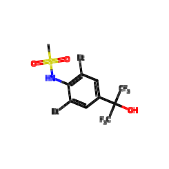 CCc1cc(C(O)(C(F)(F)F)C(F)(F)F)cc(CC)c1NS(C)(=O)=O